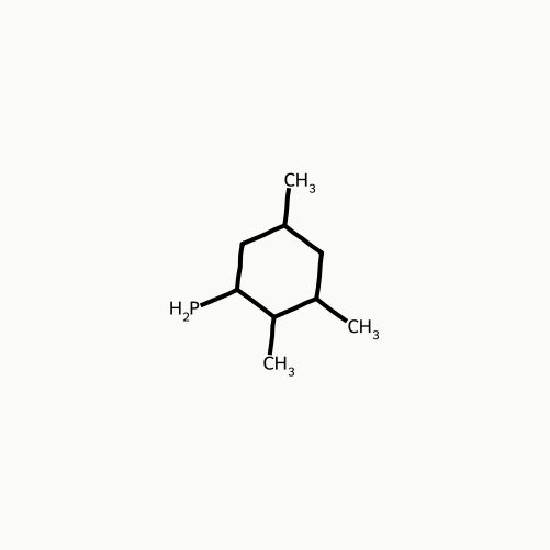 CC1CC(C)C(C)C(P)C1